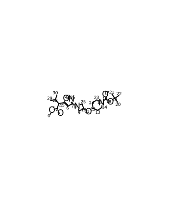 COC(=O)C(c1cc(N2CC(OC3CCN(C(=O)OC(C)(C)C)CC3)C2)no1)C(C)C